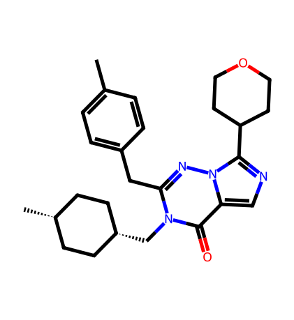 Cc1ccc(Cc2nn3c(C4CCOCC4)ncc3c(=O)n2C[C@H]2CC[C@@H](C)CC2)cc1